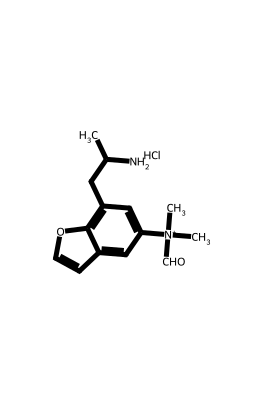 CC(N)Cc1cc([N+](C)(C)C=O)cc2ccoc12.Cl